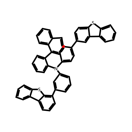 c1cc(-c2cccc3c2sc2ccccc23)cc(N(c2ccc(-c3ccc4sc5ccccc5c4c3)cc2)c2ccccc2-c2cccc3ccccc23)c1